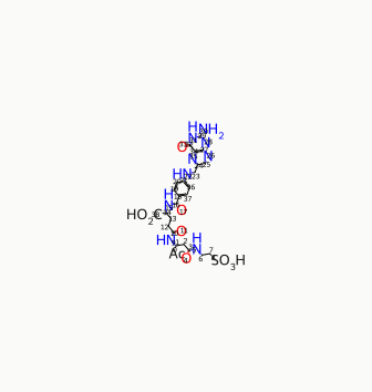 CC(=O)[C@H](CC(=O)NCCS(=O)(=O)O)NC(=O)CC[C@H](NC(=O)c1ccc(NCc2cnc3nc(N)[nH]c(=O)c3n2)cc1)C(=O)O